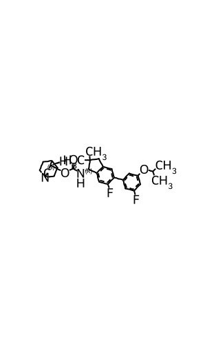 CC(C)Oc1cc(F)cc(-c2cc3c(cc2F)[C@H](NC(=O)O[C@@H]2CN4CCC2CC4)C(C)(C)C3)c1